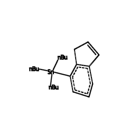 CCC[CH2][Sn]([CH2]CCC)([CH2]CCC)[c]1cccc2c1CC=C2